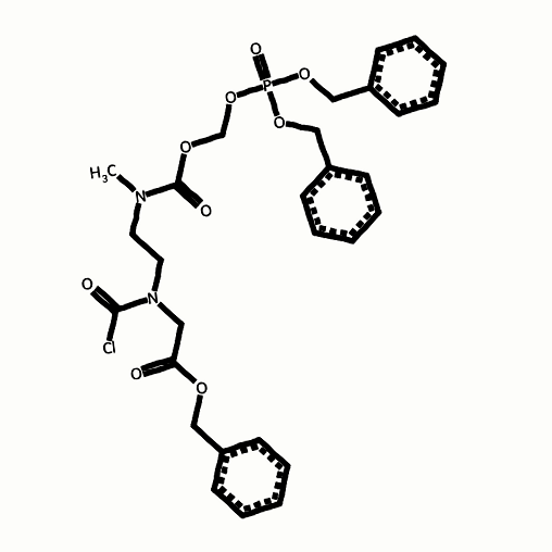 CN(CCN(CC(=O)OCc1ccccc1)C(=O)Cl)C(=O)OCOP(=O)(OCc1ccccc1)OCc1ccccc1